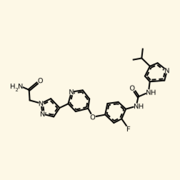 CC(C)c1cncc(NC(=O)Nc2ccc(Oc3ccnc(-c4cnn(CC(N)=O)c4)c3)cc2F)c1